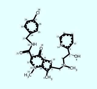 Cc1c(CN(C)C[C@@H](O)c2ccccn2)sc2c(=O)c(C(=O)NCc3ccc(Cl)cc3)cn(C)c12